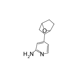 Nc1cc(C2CC3CCC2O3)ccn1